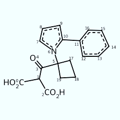 O=C(O)C(C(=O)O)C(=O)C1(n2cccc2-c2ccccc2)CCC1